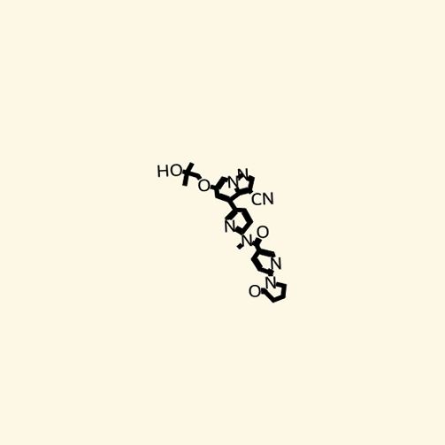 CN(C(=O)c1ccc(N2CCCC2=O)nc1)c1ccc(-c2cc(OCC(C)(C)O)cn3ncc(C#N)c23)cn1